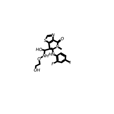 Cn1c(Nc2ccc(I)cc2F)c(C(O)NOCCO)c2scnc2c1=O